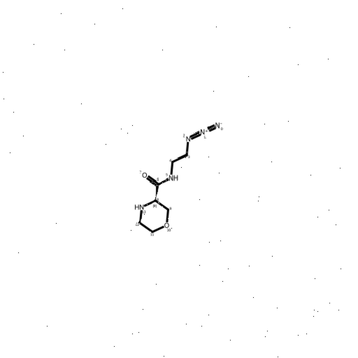 [N-]=[N+]=NCCNC(=O)[C@H]1COCCN1